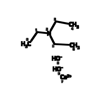 CCN(CC)CC.[Ca+2].[OH-].[OH-]